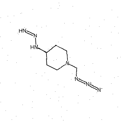 [N-]=[N+]=NCN1CCC(NN=N)CC1